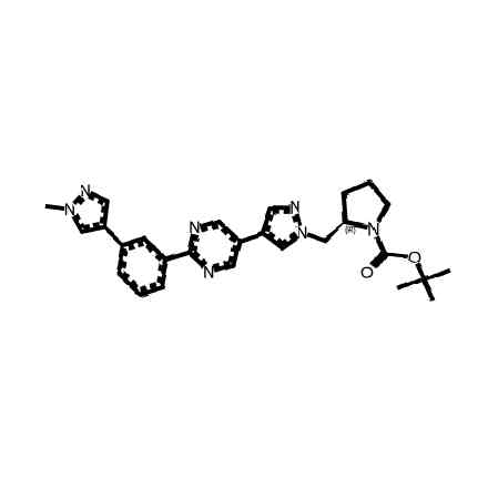 Cn1cc(-c2cccc(-c3ncc(-c4cnn(C[C@H]5CCCN5C(=O)OC(C)(C)C)c4)cn3)c2)cn1